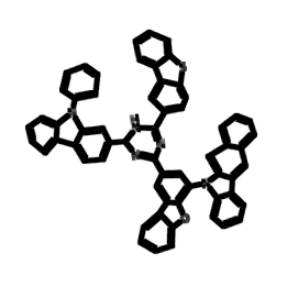 c1ccc(-n2c3ccccc3c3ccc(C4N=C(c5cc(-n6c7ccccc7c7cc8ccccc8cc76)c6oc7ccccc7c6c5)N=C(c5ccc6sc7ccccc7c6c5)N4)cc32)cc1